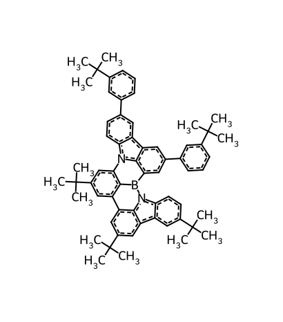 CC(C)(C)c1cccc(-c2ccc3c(c2)c2cc(-c4cccc(C(C)(C)C)c4)cc4c2n3-c2cc(C(C)(C)C)cc3c2B4n2c4ccc(C(C)(C)C)cc4c4cc(C(C)(C)C)cc-3c42)c1